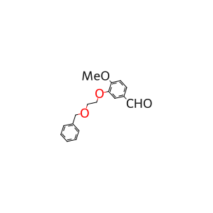 COc1ccc(C=O)cc1OCCOCc1ccccc1